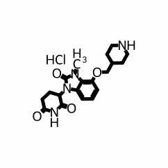 Cl.Cn1c(=O)n(C2CCC(=O)NC2=O)c2cccc(OCC3CCNCC3)c21